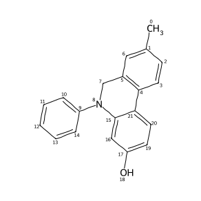 Cc1ccc2c(c1)CN(c1ccccc1)c1cc(O)ccc1-2